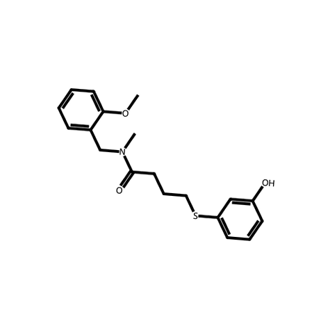 COc1ccccc1CN(C)C(=O)CCCSc1cccc(O)c1